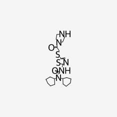 O=C(CSc1cnc(NC(=O)N(C2CCCCC2)C2CCCCC2)s1)N1CCNCC1